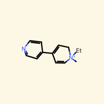 CC[N+]1(C)C=CC(c2ccncc2)=CC1